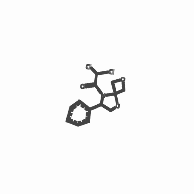 O=C(C(Cl)Cl)N1C(c2ccccc2)COC12COC2